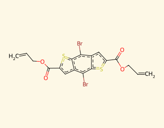 C=CCOC(=O)c1cc2c(Br)c3sc(C(=O)OCC=C)cc3c(Br)c2s1